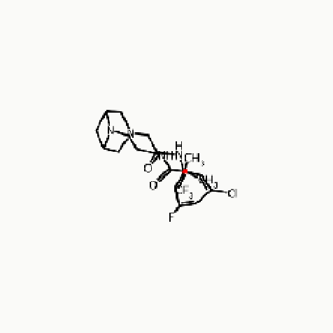 CC(C)(C(=O)NCCN1C2CC1CN(CC(=O)Nc1cc(F)cc(Cl)c1)C2)C(F)(F)F